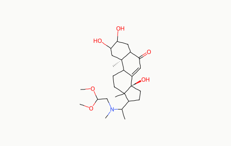 COC(CN(C)C(C)C1CC[C@@]2(O)C3=CC(=O)C4CC(O)C(O)C[C@]4(C)C3CCC12C)OC